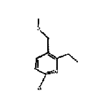 CCc1nc(Br)ccc1COC